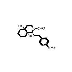 COc1ccc(CC[C@@H]2N(C=O)CC[C@@]3(O)CCCC[C@]23O)cc1